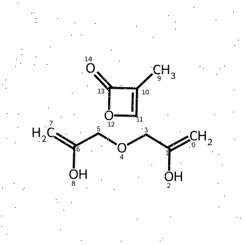 C=C(O)COCC(=C)O.CC1=COC1=O